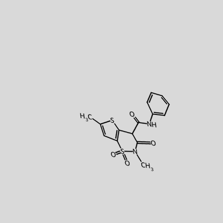 Cc1cc2c(s1)C(C(=O)Nc1ccccc1)C(=O)N(C)S2(=O)=O